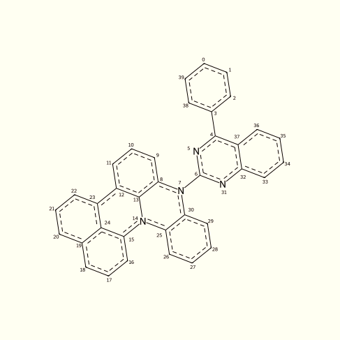 c1ccc(-c2nc(-n3c4cccc5c4-n(c4cccc6cccc5c64)c4ccccc43)nc3ccccc23)cc1